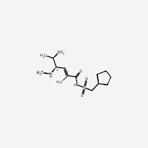 CN[C@H](/C=C(\C)C(=O)NS(=O)(=O)CC1CCCC1)C(C)C